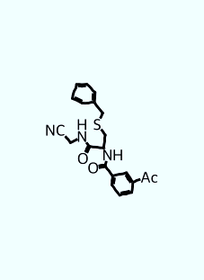 CC(=O)c1cccc(C(=O)NC(CSCc2ccccc2)C(=O)NCC#N)c1